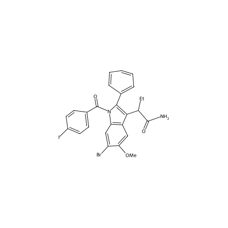 CCC(C(N)=O)c1c(-c2ccccc2)n(C(=O)c2ccc(I)cc2)c2cc(Br)c(OC)cc12